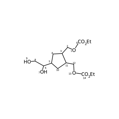 CCOC(=O)OCC1CC(C(O)CO)CC1COC(=O)OCC